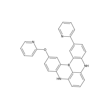 c1ccc(Oc2ccc3c(c2)B2c4cc(-c5ccccn5)ccc4Nc4cccc(c42)N3)nc1